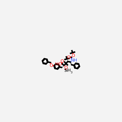 CC(C)(C)OC(=O)N[C@@H](Cc1ccccc1)[C@@H](C(C)(C)C)C(C)(C)[C@@](Cc1ccc(OCc2ccccc2)cc1)(O[SiH3])C(=O)O